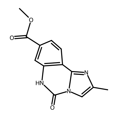 COC(=O)c1ccc2c(c1)[nH]c(=O)n1cc(C)nc21